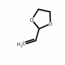 C=CC1OCCO1